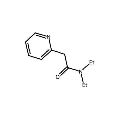 CCN(CC)C(=O)Cc1ccccn1